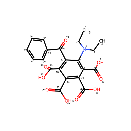 CCN(CC)c1c(C(=O)O)c(C(=O)O)c(C(=O)O)c(C(=O)O)c1C(=O)c1ccccc1